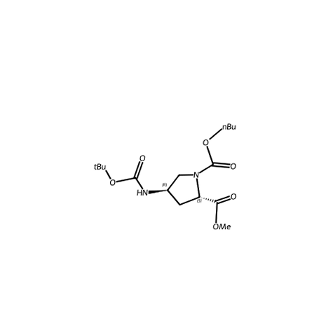 CCCCOC(=O)N1C[C@H](NC(=O)OC(C)(C)C)C[C@H]1C(=O)OC